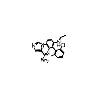 CCNc1ccc2c(nc(N)c3cncn32)c1-c1c(C)cccc1Cl